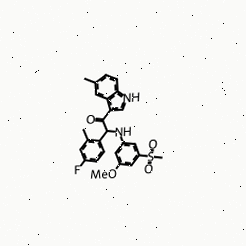 COc1cc(NC(C(=O)c2c[nH]c3ccc(C)cc23)c2ccc(F)cc2C)cc(S(C)(=O)=O)c1